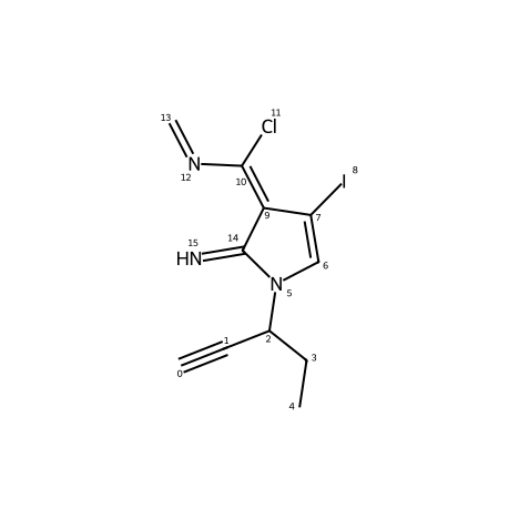 C#CC(CC)N1C=C(I)/C(=C(\Cl)N=C)C1=N